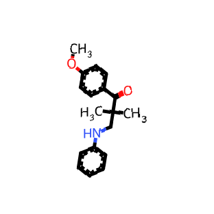 COc1ccc(C(=O)C(C)(C)CNc2ccccc2)cc1